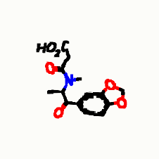 C[C@H](C(=O)c1ccc2c(c1)OCO2)N(C)C(=O)CC(=O)O